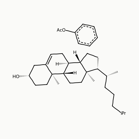 CC(=O)Oc1ccccc1.CC(C)CCC[C@@H](C)[C@H]1CC[C@H]2[C@@H]3CC=C4C[C@@H](O)CC[C@]4(C)[C@H]3CC[C@]12C